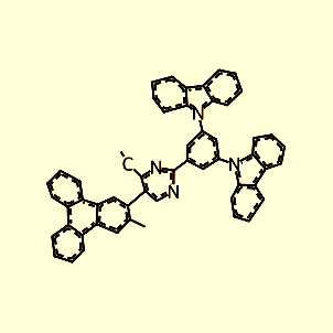 CCc1nc(-c2cc(-n3c4ccccc4c4ccccc43)cc(-n3c4ccccc4c4ccccc43)c2)ncc1-c1cc2c3ccccc3c3ccccc3c2cc1C